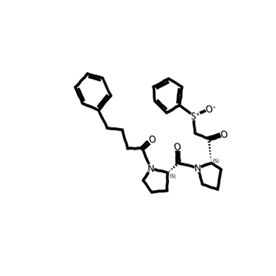 O=C(C[S+]([O-])c1ccccc1)[C@@H]1CCCN1C(=O)[C@@H]1CCCN1C(=O)CCCc1ccccc1